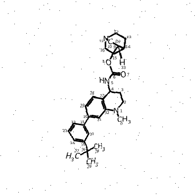 CN1CCC(NC(=O)O[C@@H]2CN3CCC2CC3)c2ccc(-c3cccc(C(C)(C)C)c3)cc21